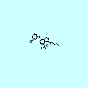 CCCCN=C1CCc2c(Oc3cncc(Cl)c3)ccc(S(C)(=O)=O)c21